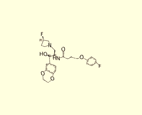 O=C(CCCOc1ccc(F)cc1)N[C@H](CN1CC[C@@H](F)C1)[C@H](O)c1ccc2c(c1)OCCO2